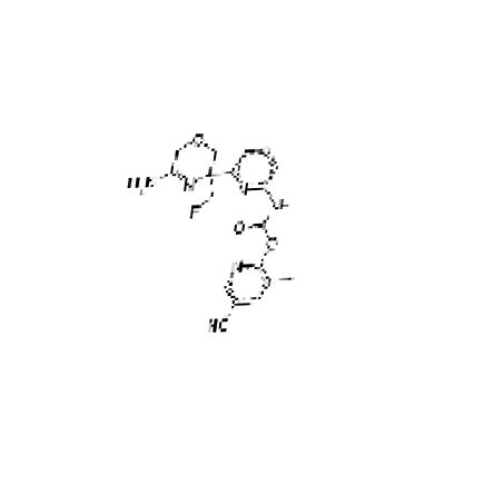 Cc1cc(C#N)cnc1OC(=O)Nc1cccc(C2(CF)COCC(N)=N2)n1